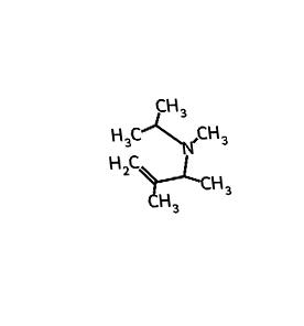 C=C(C)C(C)N(C)C(C)C